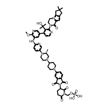 COc1ncc(-c2ccnc(N3CCn4c(cc5c4CC(C)(C)C5)C3=O)c2C(C)(C)O)cc1Nc1ccc(N2CCN(C3CCN(c4ccc5c(c4)C(=O)N(C4CCC(=O)N(COP(=O)(O)O)C4=O)C5=O)CC3)C[C@@H]2C)cn1